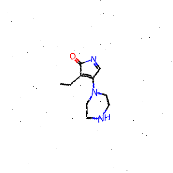 CCC1=C(N2CCNCC2)C=NC1=O